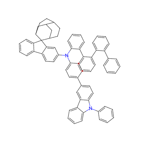 c1ccc(-c2ccccc2-c2ccccc2-c2ccccc2N(c2ccc(-c3ccc4c(c3)c3ccccc3n4-c3ccccc3)cc2)c2ccc3c(c2)C2(c4ccccc4-3)C3CCC4CCC2CC4C3)cc1